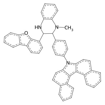 CN1c2ccccc2NC(c2cccc3c2oc2ccccc23)C1c1ccc(-n2c3ccc4ccccc4c3c3c4ccccc4ccc32)cc1